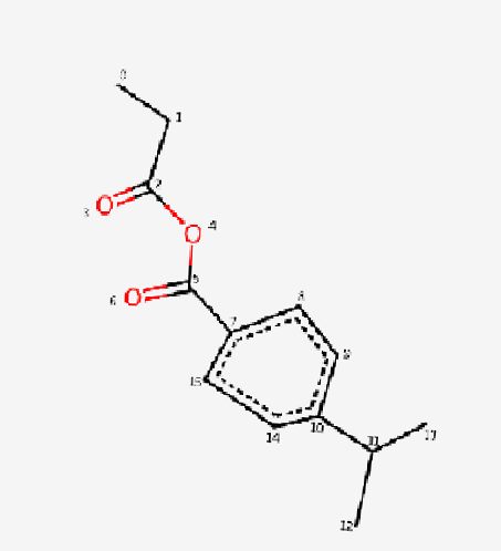 CCC(=O)OC(=O)c1ccc(C(C)C)cc1